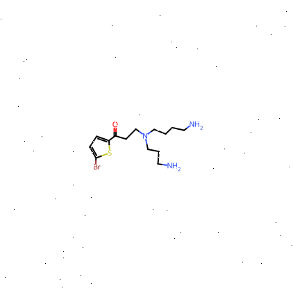 NCCCCN(CCCN)CCC(=O)c1ccc(Br)s1